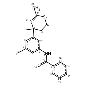 CC1(c2cc(F)cc(NC(=O)c3cnccn3)c2)CCSC(N)=N1